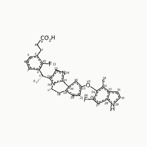 C[C@H](c1cccc(CCC(=O)O)c1F)c1cnc2n1CCc1ccc(Oc3c(F)cc4[nH]ccc4c3F)cc1-2